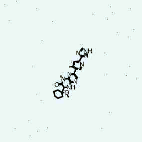 COC1(C2Nc3ncc(-c4cnc(-c5nc[nH]n5)cc4C)nc3N(C)C2=O)CCCCC1